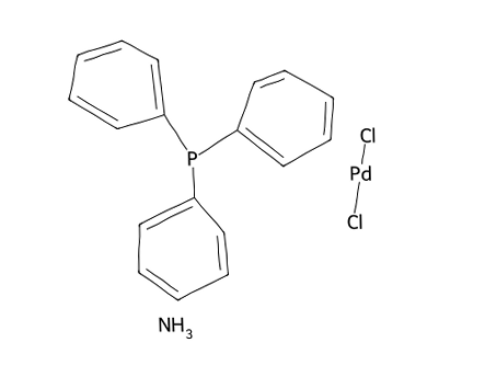 N.[Cl][Pd][Cl].c1ccc(P(c2ccccc2)c2ccccc2)cc1